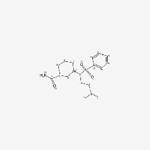 CC(C)CCC(N1CCCC(C(N)=O)C1)S(=O)(=O)c1ccccc1